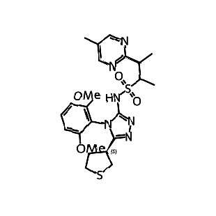 COc1cccc(OC)c1-n1c(NS(=O)(=O)C(C)C(C)c2ncc(C)cn2)nnc1[C@@H]1CCSC1